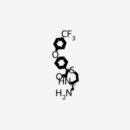 NC[C@@H]1CCS[C@H](c2ccc(Oc3ccc(C(F)(F)F)cc3)cc2)C(=O)N1